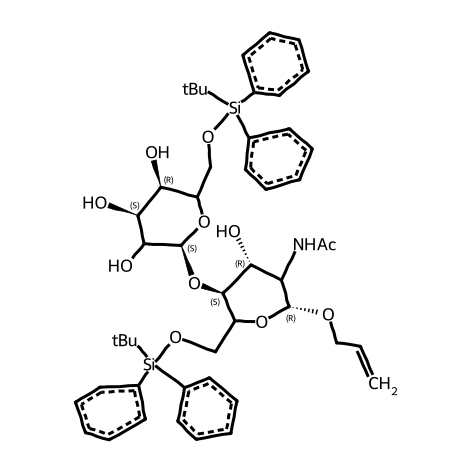 C=CCO[C@@H]1OC(CO[Si](c2ccccc2)(c2ccccc2)C(C)(C)C)[C@@H](O[C@@H]2OC(CO[Si](c3ccccc3)(c3ccccc3)C(C)(C)C)[C@H](O)[C@H](O)C2O)[C@H](O)C1NC(C)=O